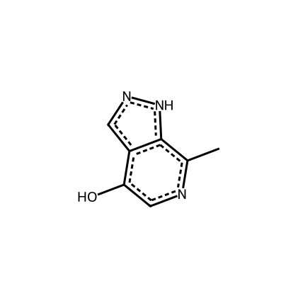 Cc1ncc(O)c2cn[nH]c12